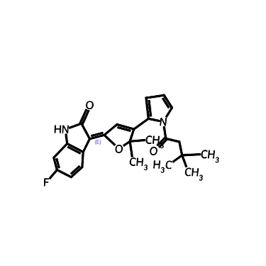 CC(C)(C)CC(=O)n1cccc1C1=C/C(=C2\C(=O)Nc3cc(F)ccc32)OC1(C)C